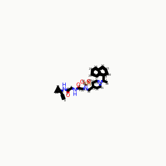 C#CC1(NC(=O)CNC(=O)CN(CC2CCN(C(C)c3cccc4ccccc34)CC2)[SH](=O)=O)CC1